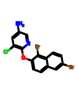 Nc1cnc(Oc2ccc3cc(Br)ccc3c2Br)c(Cl)c1